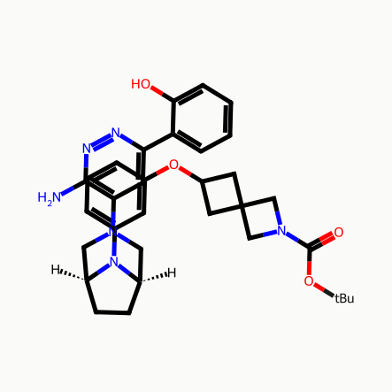 CC(C)(C)OC(=O)N1CC2(CC(Oc3cccc(N4[C@@H]5CC[C@H]4CN(c4cc(-c6ccccc6O)nnc4N)C5)c3)C2)C1